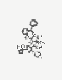 CN1C(C(=N)OC(=N)NC2N=C(c3ccccc3)c3ccccc3NC2=O)=C(N2CCOCC2)SC1C1(O)CCC1